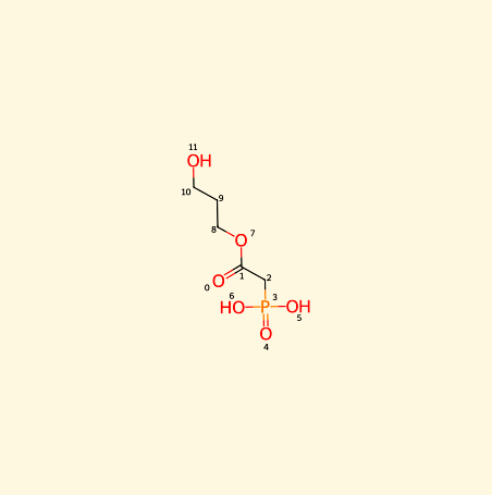 O=C(CP(=O)(O)O)OCCCO